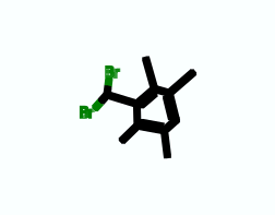 Cc1cc(C)c(C)c(C(Br)Br)c1C